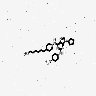 N[C@H]1CC[C@H](Nc2nc(NN3CCC(CCCCCCO)CC3)c3ncn(C4CCCC4)c3n2)CC1